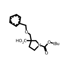 CC(C)(C)OC(=O)N1CCC(COCc2ccccc2)(C(=O)O)C1